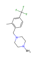 BN1CCN(Cc2ccc(C(F)(F)F)cc2C)CC1